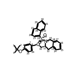 CC(C)(C)Oc1ccc(OC[C@@H]2Cc3ccccc3CN2S(=O)(=O)c2cccc3ccccc23)cc1